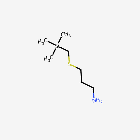 C[Si](C)(C)CSC[CH]CN